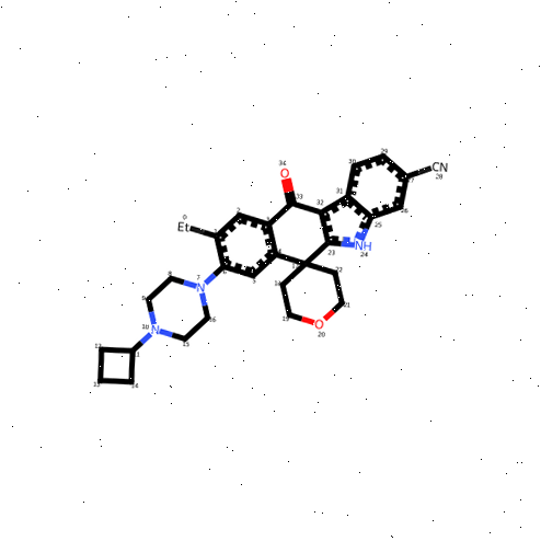 CCc1cc2c(cc1N1CCN(C3CCC3)CC1)C1(CCOCC1)c1[nH]c3cc(C#N)ccc3c1C2=O